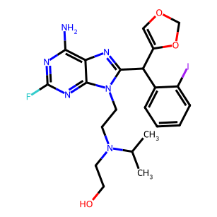 CC(C)N(CCO)CCn1c(C(C2=COCO2)c2ccccc2I)nc2c(N)nc(F)nc21